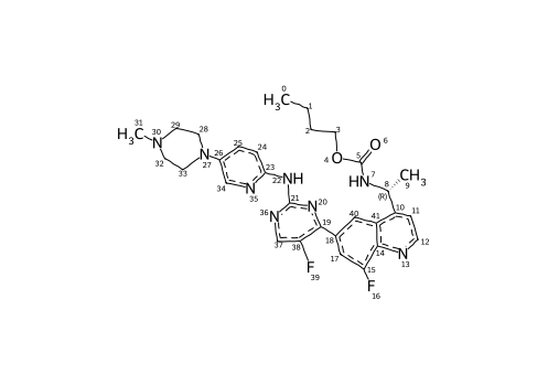 CCCCOC(=O)N[C@H](C)c1ccnc2c(F)cc(-c3nc(Nc4ccc(N5CCN(C)CC5)cn4)ncc3F)cc12